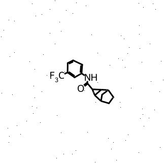 O=C(Nc1cccc(C(F)(F)F)c1)C1C2C3CCC(C3)C12